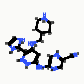 N#Cc1cnc(Nc2cc(NCC3CCNCC3)c(-c3ncc[nH]3)nn2)cn1